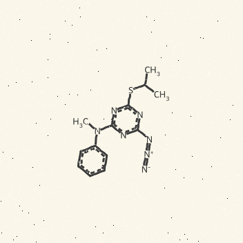 CC(C)Sc1nc(N=[N+]=[N-])nc(N(C)c2ccccc2)n1